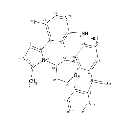 Cc1ncc(-c2nc(Nc3ccc(C(=O)c4ccccn4)cc3)ncc2F)n1C1CCOCC1.Cl